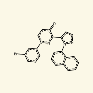 O=c1ccn(-c2cccc(Br)c2)nc1-c1ccnn1-c1cccc2ccccc12